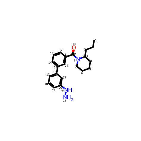 CCCC1CCCCN1C(=O)c1cccc(-c2cccc(NN)c2)c1